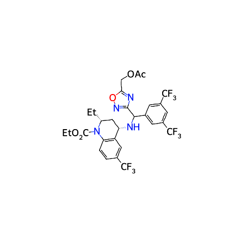 CCOC(=O)N1c2ccc(C(F)(F)F)cc2[C@@H](NC(c2cc(C(F)(F)F)cc(C(F)(F)F)c2)c2noc(COC(C)=O)n2)C[C@H]1CC